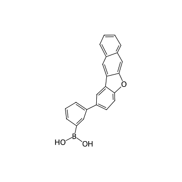 OB(O)c1cccc(-c2ccc3oc4cc5ccccc5cc4c3c2)c1